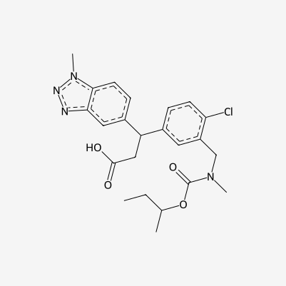 CCC(C)OC(=O)N(C)Cc1cc(C(CC(=O)O)c2ccc3c(c2)nnn3C)ccc1Cl